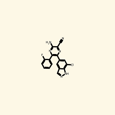 N#Cc1nc(-c2cc(Cl)c3[nH]ncc3c2)c(-c2ccccc2F)nc1N